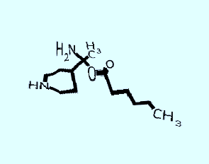 CCCCCC(=O)OC(C)(N)C1CCNCC1